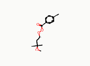 COC(C)(C)C[CH]OOC(=O)c1ccc(C)cc1